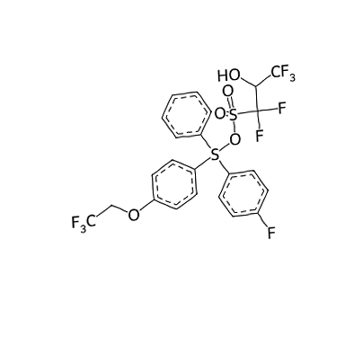 O=S(=O)(OS(c1ccccc1)(c1ccc(F)cc1)c1ccc(OCC(F)(F)F)cc1)C(F)(F)C(O)C(F)(F)F